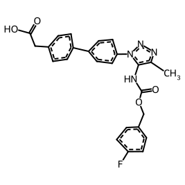 Cc1nnn(-c2ccc(-c3ccc(CC(=O)O)cc3)cc2)c1NC(=O)OCc1ccc(F)cc1